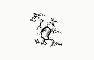 CO[C@H]1O[C@H](COS(C)(=O)=O)[C@@H](OS(C)(=O)=O)[C@H](OC(C)=O)[C@H]1ONC(C)=O